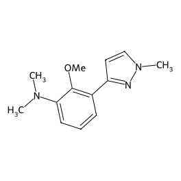 COc1c(-c2ccn(C)n2)cccc1N(C)C